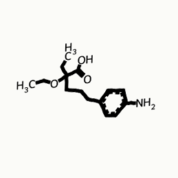 CCOC(CC)(CCCc1ccc(N)cc1)C(=O)O